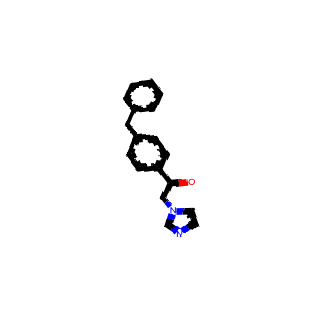 O=C(Cn1ccnc1)c1ccc(Cc2ccccc2)cc1